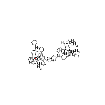 CC(C)(C)c1cc(-c2cccc3c2c2c(C(C)(C)C)cccc2n3-c2ccc(CC(C)(C)c3cc(-c4cccc5c4c4c(C(C)(C)C)c(-c6ccccc6)ccc4n5-c4ccccc4)cc(C(C)(C)C)c3)cc2)cc(C(C)(C)C)c1